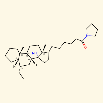 CC[C@H]1C[C@H]2C3CCC(CCCCCC(=O)N4CCCC4)[C@@]3(C)CC[C@]2(N)[C@@]2(C)CCCC[C@@H]12